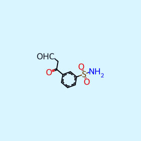 NS(=O)(=O)c1cccc(C(=O)CC=O)c1